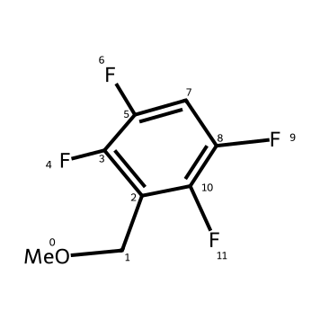 COCc1c(F)c(F)cc(F)c1F